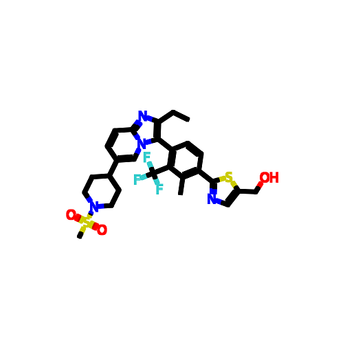 CCc1nc2ccc(C3CCN(S(C)(=O)=O)CC3)cn2c1-c1ccc(-c2ncc(CO)s2)c(C)c1C(F)(F)F